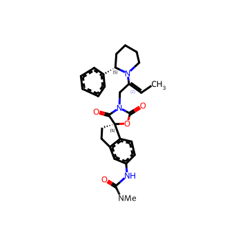 C/C=C(/CN1C(=O)O[C@]2(CCc3cc(NC(=O)NC)ccc32)C1=O)N1CCCC[C@H]1c1ccccc1